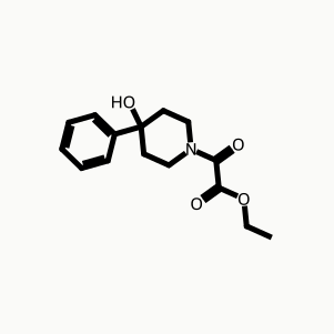 CCOC(=O)C(=O)N1CCC(O)(c2ccccc2)CC1